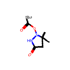 CC(C)(C)C(=O)ON1NC(=O)CC1(C)C